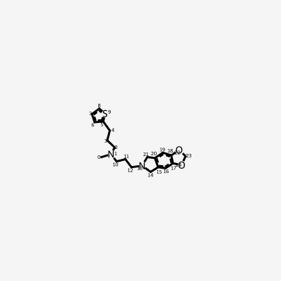 CN(CCCc1cccs1)CCCN1Cc2cc3c(cc2C1)OCO3